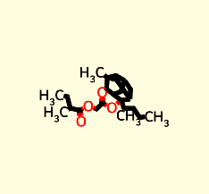 CCCC(C)C1(OC(=O)COC(=O)C(C)CC)C2CC3CC1CC(C)(C3)C2